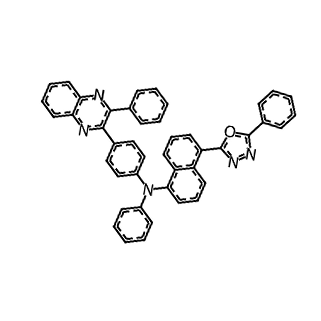 c1ccc(-c2nnc(-c3cccc4c(N(c5ccccc5)c5ccc(-c6nc7ccccc7nc6-c6ccccc6)cc5)cccc34)o2)cc1